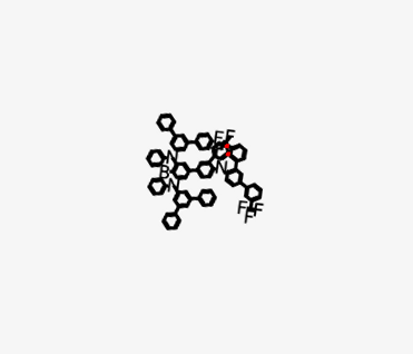 FC(F)(F)c1cccc(-c2ccc(-n3c4ccccc4c4cc(-c5cc6c7c(c5)N(c5cc(-c8ccccc8)cc(-c8ccccc8)c5)c5ccccc5B7c5ccccc5N6c5cc(-c6ccccc6)cc(-c6ccccc6)c5)ccc43)c(-c3cccc(C(F)(F)F)c3)c2)c1